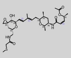 CSCC(=O)NC[C@@H]1C[C@@]2(CO2)[C@H](O)[C@@H](/C=C/C(C)=C/C[C@@H]2O[C@H](C)[C@H](NC(=O)/C=C\[C@H](C)OC(C)=O)C[C@@H]2C)O1